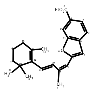 CCOC(=O)c1ccc2cc(C=C(C)C=CC3=C(C)CCCC3(C)C)oc2c1